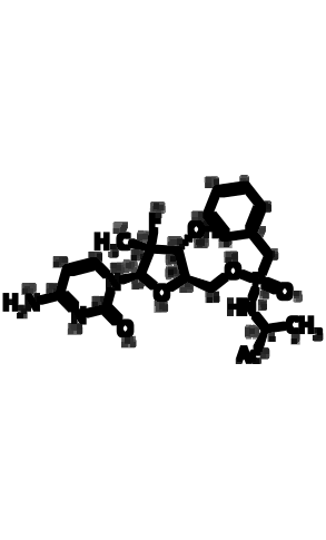 CC(=O)[C@H](C)NP(=O)(Cc1ccccc1)OC[C@H]1O[C@@H](n2ccc(N)nc2=O)[C@](C)(F)[C@@H]1O